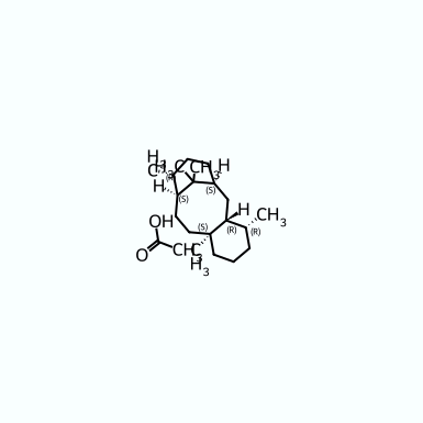 CC(=O)O.C[C@@H]1CCC[C@@]2(C)CC[C@H]3[C@H](C)CC[C@@H](C[C@H]12)C3(C)C